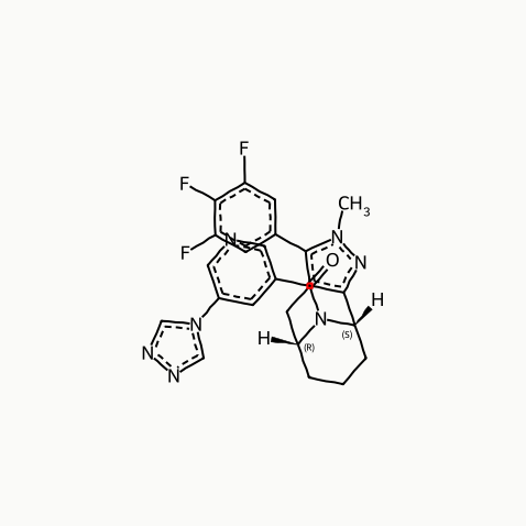 Cn1nc2c(c1-c1cc(F)c(F)c(F)c1)C[C@H]1CCC[C@@H]2N1C(=O)c1cncc(-n2cnnc2)c1